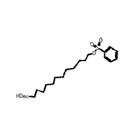 CCCCCCCCCCCCCCCCCCCCCCOS(=O)(=O)c1ccccc1